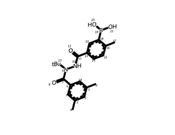 Cc1cc(C)cc(C(=O)N(NC(=O)c2ccc(C)c(B(O)O)c2)C(C)(C)C)c1